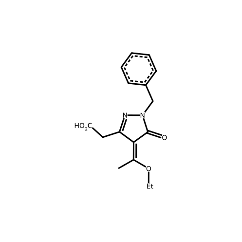 CCOC(C)=C1C(=O)N(Cc2ccccc2)N=C1CC(=O)O